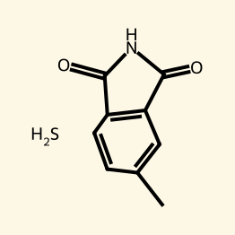 Cc1ccc2c(c1)C(=O)NC2=O.S